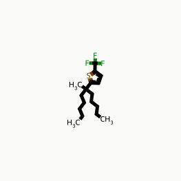 CCCCCC(C)(CCCCC)c1ccc(C(F)(F)F)s1